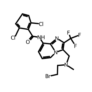 CN(CCBr)Cc1c(C(F)(F)F)nc2c(NC(=O)c3c(Cl)cccc3Cl)cccn12